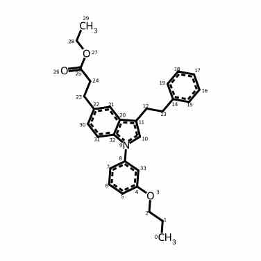 CCCOc1cccc(-n2cc(CCc3ccccc3)c3cc(CCC(=O)OCC)ccc32)c1